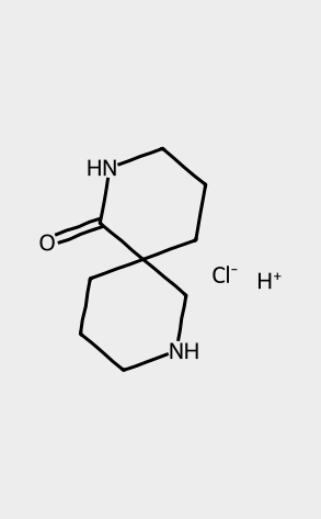 O=C1NCCCC12CCCNC2.[Cl-].[H+]